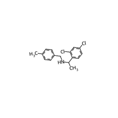 Cc1ccc(CNC(C)c2ccc(Cl)cc2Cl)cc1